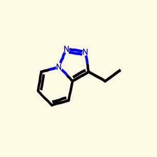 CCc1nnn2ccccc12